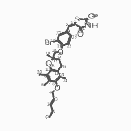 CC/C=C/COc1c(C)c(C)c2c(c1C)CCC(C)(COc1ccc(/C=C3/SC(=O)NC3=O)cc1Br)O2